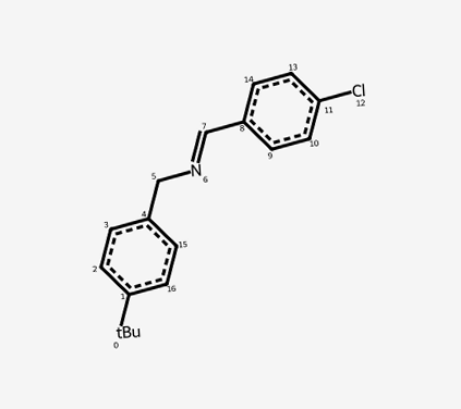 CC(C)(C)c1ccc(CN=Cc2ccc(Cl)cc2)cc1